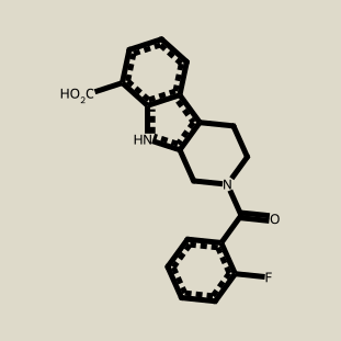 O=C(O)c1cccc2c3c([nH]c12)CN(C(=O)c1ccccc1F)CC3